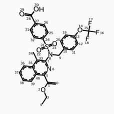 C=C(OCC)c1nc(N(Cc2ccc(OC(F)(F)F)cc2)S(=O)(=O)c2ccc(C(=O)O)cc2)c(C)c2ccccc12